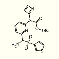 CC(C)(C)OC(=O)N(C1=NC=C1)c1cccc(C(N)S(=O)(=O)c2ccsc2)n1